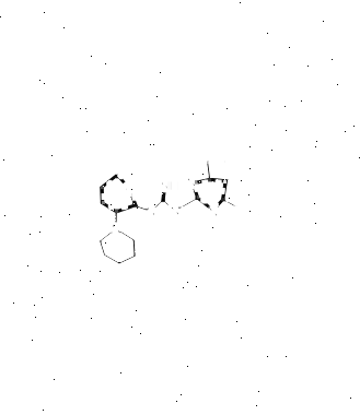 Cc1cc(C)nc(NC(=N)Nc2ccccc2N2CCCCC2)n1